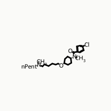 CCCCCN(C)CCCCCCO[C@H]1CC[C@H](N(C)C(=O)c2ccc(Cl)cc2)CC1